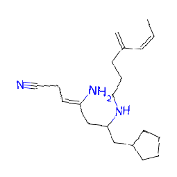 C=C(/C=C\C)CCCNC(C/C(N)=C/CC#N)CC1CCCC1